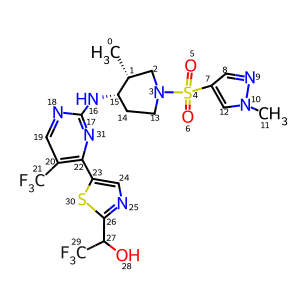 C[C@@H]1CN(S(=O)(=O)c2cnn(C)c2)CC[C@@H]1Nc1ncc(C(F)(F)F)c(-c2cnc(C(O)C(F)(F)F)s2)n1